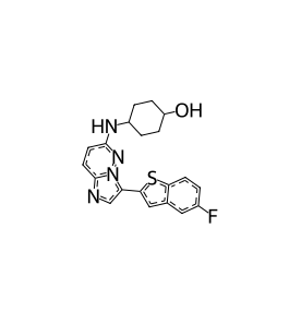 OC1CCC(Nc2ccc3ncc(-c4cc5cc(F)ccc5s4)n3n2)CC1